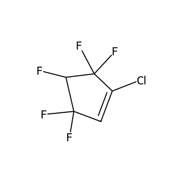 FC1C(F)(F)C=C(Cl)C1(F)F